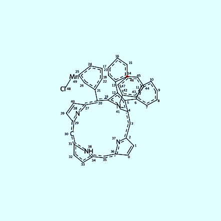 C1=Cc2cc3c(-c4ccccc4)c(-c4ccccc4)c(c(-c4ccccc4)c4nc(cc5ccc(cc1n2)[nH]5)C=C4)n3-c1ccccc1.[Cl][Mn]